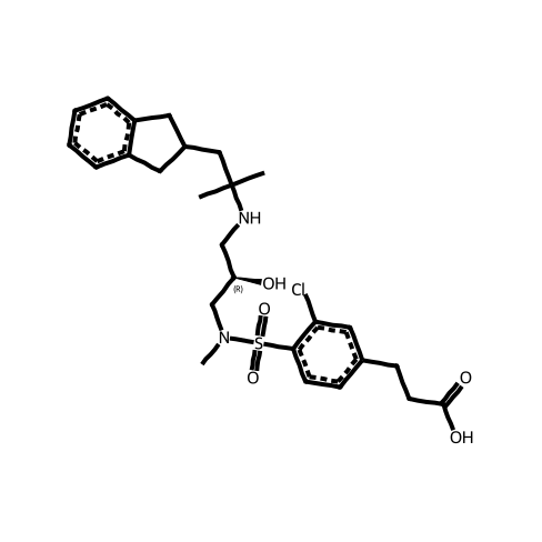 CN(C[C@H](O)CNC(C)(C)CC1Cc2ccccc2C1)S(=O)(=O)c1ccc(CCC(=O)O)cc1Cl